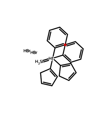 Br.Br.[SiH2]=[Hf]([C]1=CC=CC1)([C]1=CC=CC1)([c]1ccccc1)[c]1ccccc1